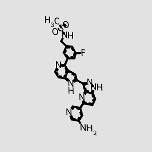 CS(=O)(=O)NCc1cc(F)cc(-c2nccc3[nH]c(-c4n[nH]c5ccc(-c6cncc(N)c6)nc45)cc23)c1